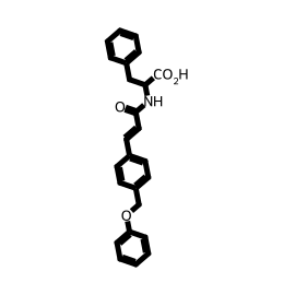 O=C(/C=C/c1ccc(COc2ccccc2)cc1)NC(Cc1ccccc1)C(=O)O